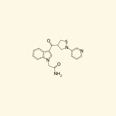 NC(=O)Cn1cc(C(=O)C2CSN(c3cccnc3)C2)c2ccccc21